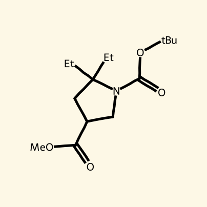 CCC1(CC)CC(C(=O)OC)CN1C(=O)OC(C)(C)C